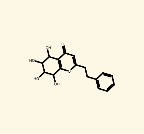 O=c1cc(CCc2ccccc2)oc2c1C(O)C(O)C(O)C2O